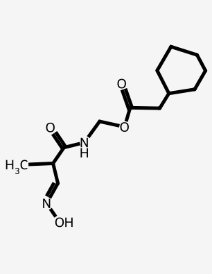 CC(C=NO)C(=O)NCOC(=O)CC1CCCCC1